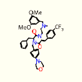 COc1cc(CN(C)CCN(C)C(=O)C(Cc2ccccc2)N(Cc2ccc(N3CCOCC3)cc2)C(=O)C=Cc2ccc(C(F)(F)F)cc2)cc(OC)c1